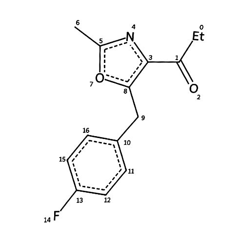 CCC(=O)c1nc(C)oc1Cc1ccc(F)cc1